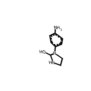 Nc1ccc(N2CCNC2O)cc1